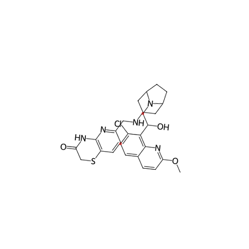 COc1ccc2ccc(Cl)c(C(O)CN3C4CCC3CC(NCc3ccc5c(n3)NC(=O)CS5)C4)c2n1